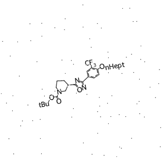 CCCCCCCOc1ccc(-c2noc([C@@H]3CCCN(C(=O)OC(C)(C)C)C3)n2)cc1C(F)(F)F